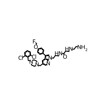 NCCNCCC(=O)NCCCn1cc(-c2ccc(OCF)cc2)c2cc(CN3CCN(Cc4c(Cl)cccc4Cl)CC3)cnc21